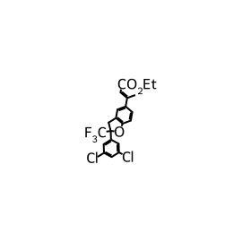 CCOC(=O)C=C(C)c1ccc2c(c1)CC(c1cc(Cl)cc(Cl)c1)(C(F)(F)F)O2